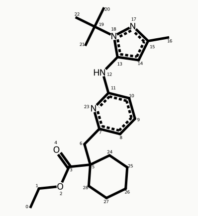 CCOC(=O)C1(Cc2cccc(Nc3cc(C)nn3C(C)(C)C)n2)CCCCC1